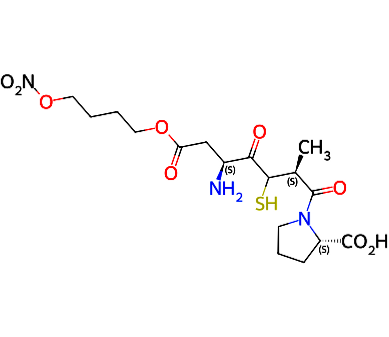 C[C@@H](C(=O)N1CCC[C@H]1C(=O)O)C(S)C(=O)[C@@H](N)CC(=O)OCCCCO[N+](=O)[O-]